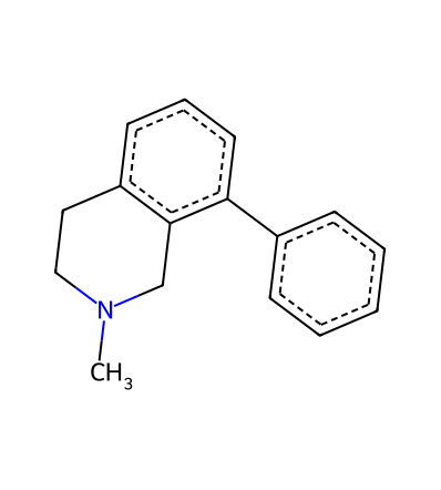 CN1CCc2cccc(-c3ccccc3)c2C1